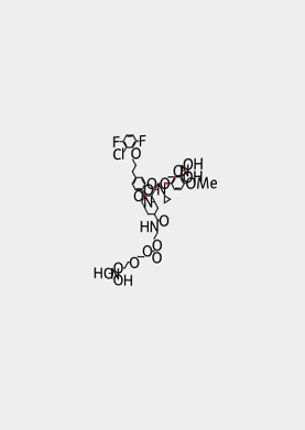 COc1ccc(CN(C(=O)C2C(c3ccc(CCCOc4c(F)ccc(F)c4Cl)cc3)CC3CC(C(=O)NCCOC(=O)OCCOCCON(O)O)CC2N3C(=O)OCCOCCON(O)O)C2CC2)cc1C